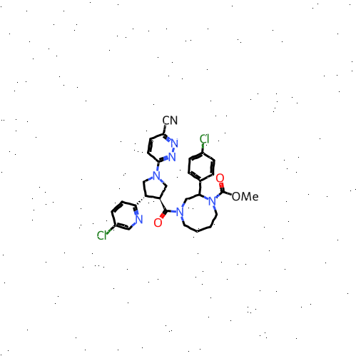 COC(=O)N1CCCCN(C(=O)[C@@H]2CN(c3ccc(C#N)nn3)C[C@H]2c2ccc(Cl)cn2)CC1c1ccc(Cl)cc1